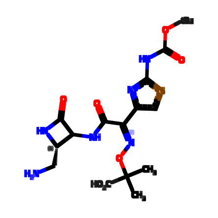 CC(C)(C)OC(=O)Nc1nc(/C(=N/OC(C)(C)C(=O)O)C(=O)NC2C(=O)N[C@H]2CN)cs1